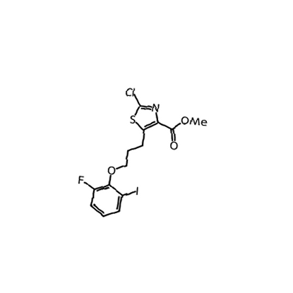 COC(=O)c1nc(Cl)sc1CCCOc1c(F)cccc1I